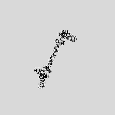 COC(=O)[C@H](CCC(=O)NCCOCCOCCOCCOCCNC(=O)CC[C@H](NC(=O)OCc1ccccc1)C(=O)OC)NC(=O)OCc1ccccc1